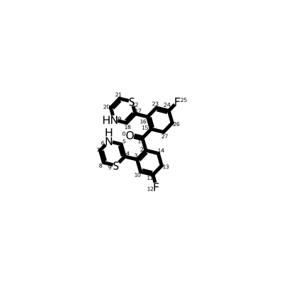 O=C(C1=C(C2=CNC=CS2)C=C(F)CC1)C1=C(C2=CNC=CS2)C=C(F)CC1